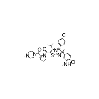 CNc1cc([C@]2(C)N=C3SC(C(=O)N4CCC[C@H]4C(=O)N4CCN(C)CC4)=C(C(C)C)N3[C@@H]2c2ccc(Cl)cc2)ccc1Cl